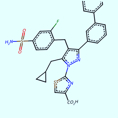 NS(=O)(=O)c1ccc(Cc2c(-c3cccc(-c4ccccc4)c3)nn(-c3nc(C(=O)O)cs3)c2CC2CC2)c(F)c1